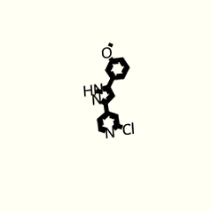 COc1cccc(-c2cc(-c3ccnc(Cl)c3)n[nH]2)c1